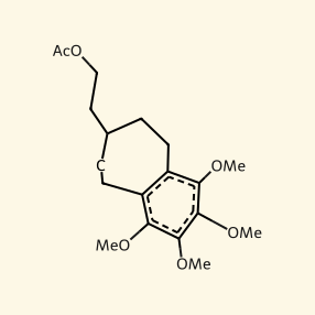 COc1c2c(c(OC)c(OC)c1OC)CCC(CCOC(C)=O)CC2